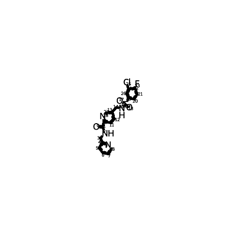 O=C(NCc1ccccn1)c1ccc(CNS(=O)(=O)c2ccc(F)c(Cl)c2)cn1